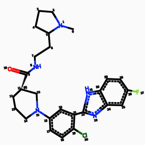 CN1CCCC1CCNC(=O)[C@H]1CCCN(c2ccc(Cl)c(-c3nc4cc(F)ccc4[nH]3)c2)C1